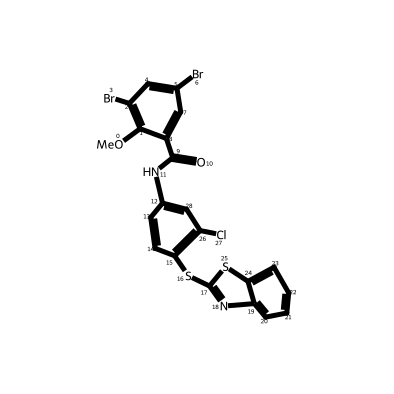 COc1c(Br)cc(Br)cc1C(=O)Nc1ccc(Sc2nc3ccccc3s2)c(Cl)c1